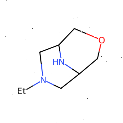 CCN1CC2COCC(C1)N2